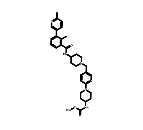 Cc1ccc(-c2cccc(C(=O)NC3CCN(Cc4ccc(N5CCC(NC(=O)OC(C)(C)C)CC5)nc4)CC3)c2C)cn1